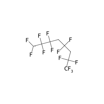 F[C](F)C(F)(F)C(F)(F)CC(F)(F)CC(F)(F)C(F)(F)F